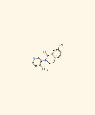 Cc1ccncc1N1CCc2ccc(C#N)cc2C1=O